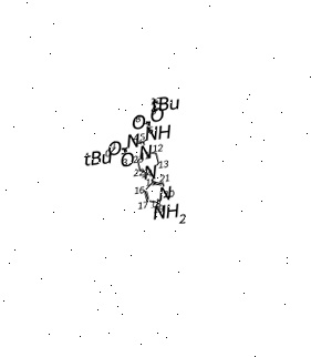 CC(C)(C)OC(=O)/N=C(/NC(=O)OC(C)(C)C)N1CCN(c2ccc(N)nc2)CC1